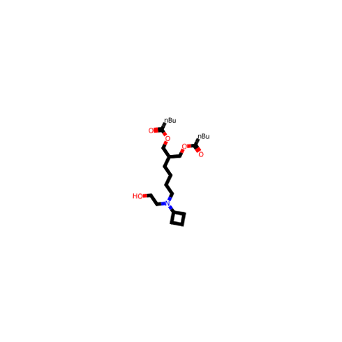 CCCCC(=O)OCC(CCCCN(CCO)C1CCC1)COC(=O)CCCC